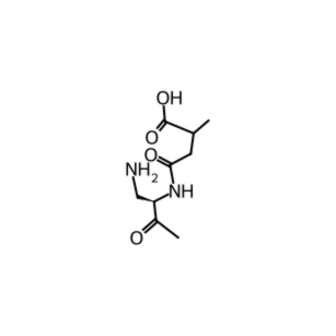 CC(=O)[C@@H](CN)NC(=O)CC(C)C(=O)O